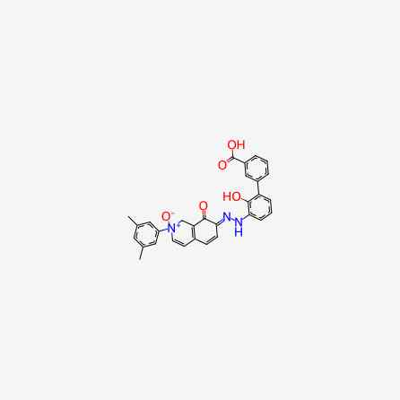 Cc1cc(C)cc([N+]2([O-])C=CC3=C(C2)C(=O)C(=NNc2cccc(-c4cccc(C(=O)O)c4)c2O)C=C3)c1